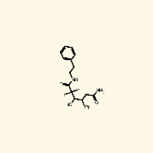 CC(C)C(CC(N)=O)C(O)C(F)(F)C(=O)NCCc1ccccc1